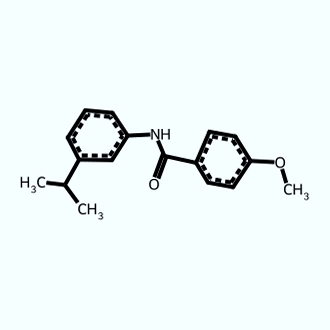 COc1ccc(C(=O)Nc2cccc(C(C)C)c2)cc1